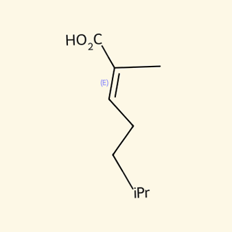 C/C(=C\CCC(C)C)C(=O)O